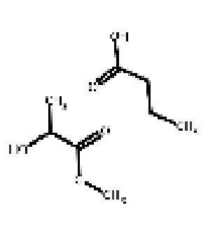 CCCC(=O)O.COC(=O)C(C)O